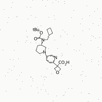 CC(C)(C)OC(=O)N(CC1CCC1)[C@@H]1CCCN(c2ccc(C3(C(=O)O)COC3)nc2)C1